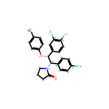 N#Cc1ccc(O[C@H](c2ccc(F)c(F)c2)[C@H](c2ccc(F)cc2)N2CCCC2=O)cc1